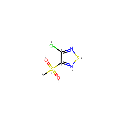 CS(=O)(=O)c1nsnc1Cl